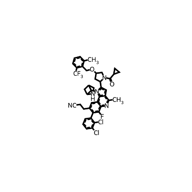 Cc1cccc(C(F)(F)F)c1COC1CC(c2cc3c(C)nc4c(F)c(-c5cccc(Cl)c5Cl)c(CCC#N)cc4c3n2C2C3CNC2C3)N(C(=O)C2CC2)C1